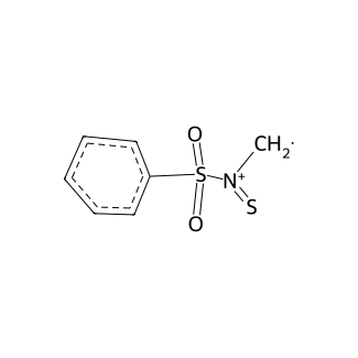 [CH2][N+](=S)S(=O)(=O)c1ccccc1